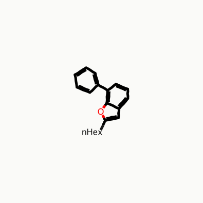 CC[CH]CCCc1cc2cccc(-c3ccccc3)c2o1